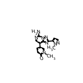 Cn1nccc1-c1nc2c(-c3ccc(=O)n(C)c3)cnc(N)n2n1